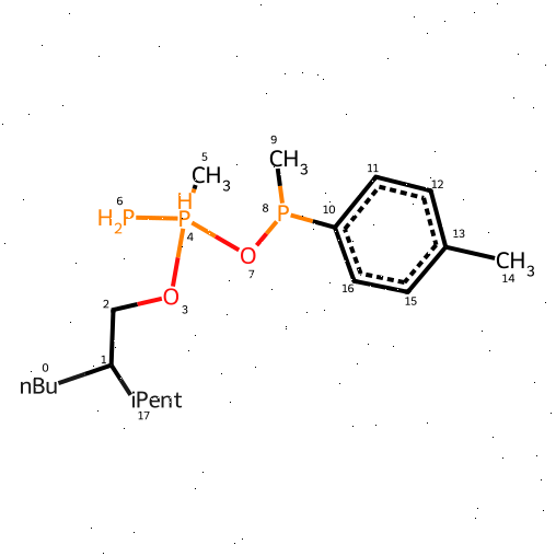 CCCCC(CO[PH](C)(P)OP(C)c1ccc(C)cc1)C(C)CCC